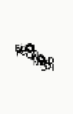 C[C@@H](c1cccc(OC(F)(F)F)c1)n1c(=O)cnc2c(CO)c([N+](=O)[O-])ccc21